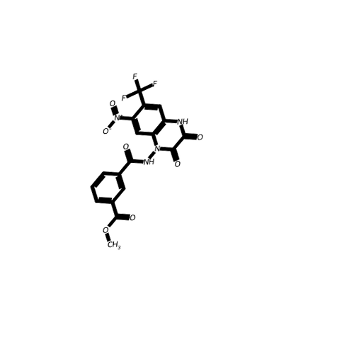 COC(=O)c1cccc(C(=O)Nn2c(=O)c(=O)[nH]c3cc(C(F)(F)F)c([N+](=O)[O-])cc32)c1